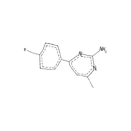 Cc1cc(-c2ccc(F)cc2)nc(N)n1